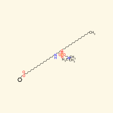 CCCCCCCCCCCCCCCCCCOCC(CNCCCCCCCCCCCCCCCCCCC(=O)OCc1ccccc1)OP(=O)([O-])OCC[N+](C)(C)C